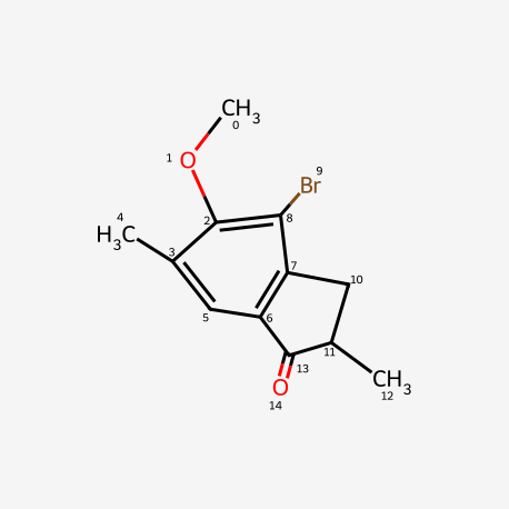 COc1c(C)cc2c(c1Br)CC(C)C2=O